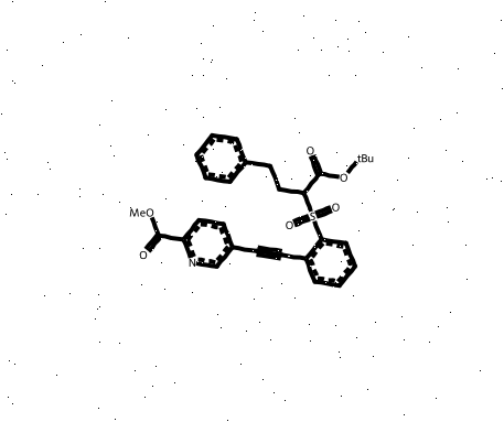 COC(=O)c1ccc(C#Cc2ccccc2S(=O)(=O)C(CCc2ccccc2)C(=O)OC(C)(C)C)cn1